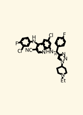 CCN1CCC(n2cc([C@H](Nc3cc(Cl)cc4c(Nc5ccc(F)c(Cl)c5)c(C#N)cnc34)c3ccc(F)cc3)nn2)CC1